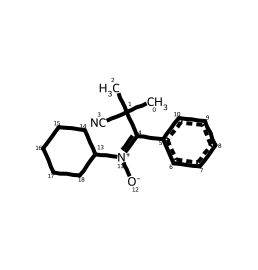 CC(C)(C#N)C(c1ccccc1)=[N+]([O-])C1CCCCC1